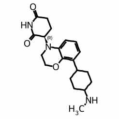 CNC1CCC(c2cccc3c2OCCN3[C@@H]2CCC(=O)NC2=O)CC1